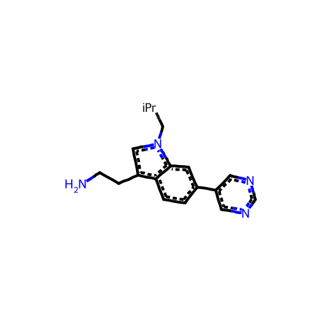 CC(C)Cn1cc(CCN)c2ccc(-c3cncnc3)cc21